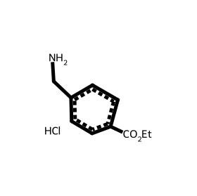 CCOC(=O)c1ccc(CN)cc1.Cl